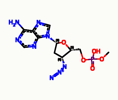 COP(=O)(O)OC[C@H]1O[C@@H](n2cnc3c(N)ncnc32)C[C@H]1N=[N+]=[N-]